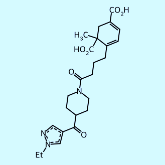 CCn1cc(C(=O)C2CCN(C(=O)CCCC3=CC=C(C(=O)O)CC3(C)C(=O)O)CC2)cn1